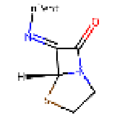 CCCCC/N=C1\C(=O)N2CCS[C@H]12